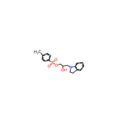 Cc1ccc(S(=O)(=O)OCC(O)CN2CCc3ccccc32)cc1